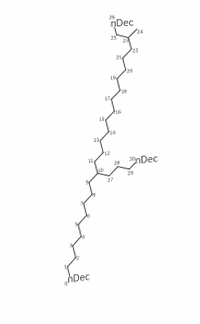 CCCCCCCCCCCCCCCCCCCC(CCCCC[CH]CCCCCCC(C)CCCCCCCCCCC)CCCCCCCCCCCCC